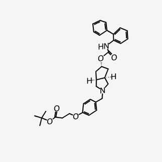 CC(C)(C)OC(=O)CCOc1ccc(CN2C[C@H]3C[C@H](OC(=O)Nc4ccccc4-c4ccccc4)C[C@H]3C2)cc1